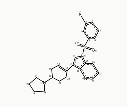 O=S(=O)(c1cccc(F)c1)n1cc(C2=CCC(N3CCCC3)CC2)c2ncccc21